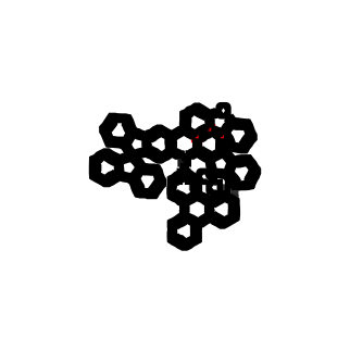 CC1(C)c2ccccc2-c2cccc(N(c3ccc4c5ccccc5c5ccccc5c4c3)c3cc4c(cc3-c3ccc5oc6ccccc6c5c3)-c3ccccc3C43c4ccccc4-c4ccccc43)c21